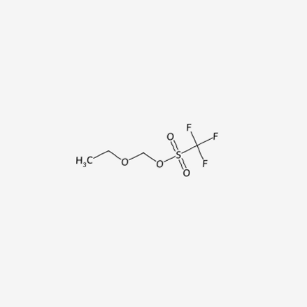 CCOCOS(=O)(=O)C(F)(F)F